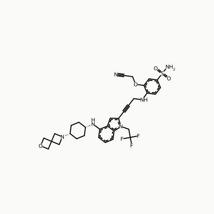 N#CCOc1cc(S(N)(=O)=O)ccc1NCC#Cc1cc2c(N[C@H]3CC[C@@H](N4CC5(COC5)C4)CC3)cccc2n1CC(F)(F)F